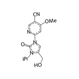 COc1cc(-n2cc(CO)n(C(C)C)c2=O)ncc1C#N